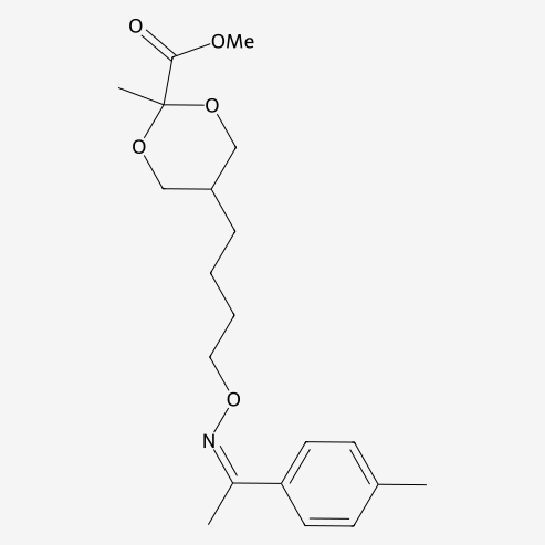 COC(=O)C1(C)OCC(CCCCON=C(C)c2ccc(C)cc2)CO1